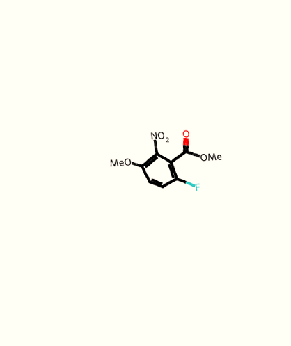 COC(=O)c1c(F)ccc(OC)c1[N+](=O)[O-]